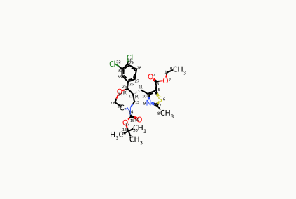 CCOC(=O)c1sc(C)nc1C[C@@H]1CN(C(=O)OC(C)(C)C)CCO[C@H]1c1ccc(Cl)c(Cl)c1